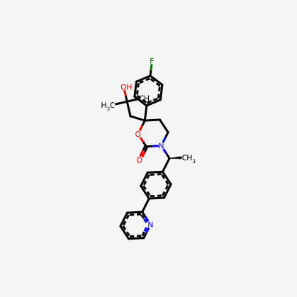 C[C@@H](c1ccc(-c2ccccn2)cc1)N1CCC(CC(C)(C)O)(c2ccc(F)cc2)OC1=O